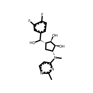 Cc1nccc(N(C)[C@@H]2C[C@H](C(O)c3ccc(F)c(F)c3)[C@@H](O)[C@H]2O)n1